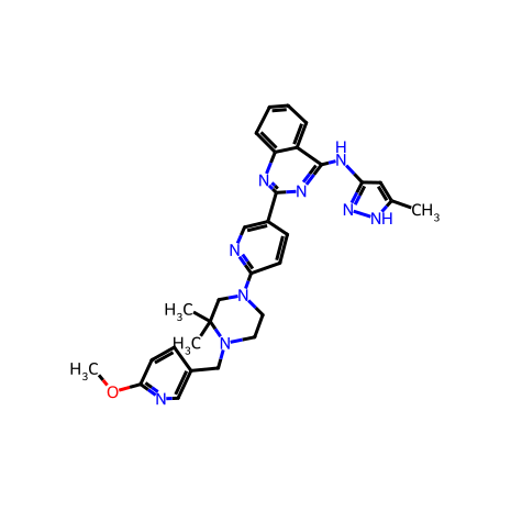 COc1ccc(CN2CCN(c3ccc(-c4nc(Nc5cc(C)[nH]n5)c5ccccc5n4)cn3)CC2(C)C)cn1